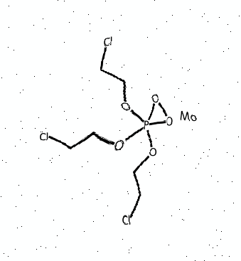 ClCCOP1(OCCCl)(OCCCl)OO1.[Mo]